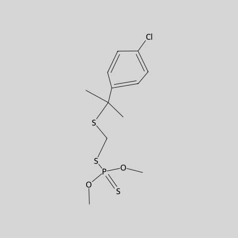 COP(=S)(OC)SCSC(C)(C)c1ccc(Cl)cc1